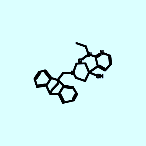 CC[S+]([O-])c1ncccc1C1(O)CCN(CC23CCC(c4ccccc42)c2ccccc23)CC1